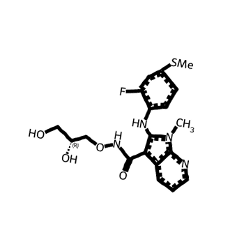 CSc1ccc(Nc2c(C(=O)NOC[C@H](O)CO)c3cccnc3n2C)c(F)c1